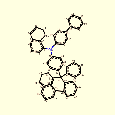 C1=Cc2cccc(N(c3ccc(-c4ccccc4)cc3)c3ccc(C4(c5ccccc5)C5=c6c(cccc6=CCC5)-c5ccccc54)cc3)c2CC1